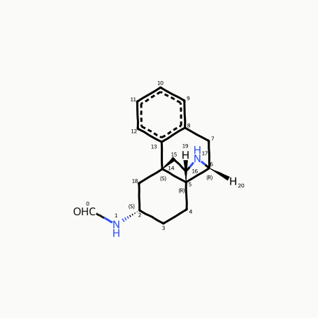 O=CN[C@H]1CC[C@H]2[C@H]3Cc4ccccc4[C@@]2(CCN3)C1